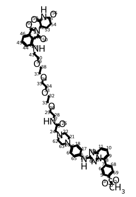 CS(=O)(=O)c1ccc(-c2cccc3nc(Nc4ccc(N5CCN(CC(=O)NCCOCCOCCOCCOCCNc6cccc7c6C(=O)N(C6CCC(=O)NC6=O)C7=O)CC5)cc4)nn23)cc1